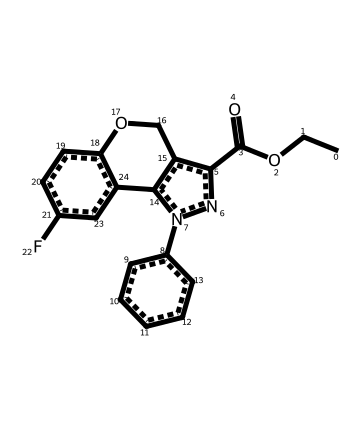 CCOC(=O)c1nn(-c2ccccc2)c2c1COc1ccc(F)cc1-2